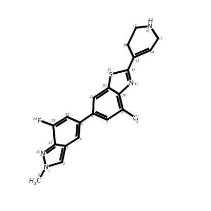 Cn1cc2cc(-c3cc(Cl)c4nc(C5=CCNCC5)sc4c3)cc(F)c2n1